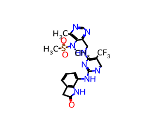 Cc1ncnc(CNc2nc(Nc3cccc4c3NC(=O)C4)ncc2C(F)(F)F)c1N(C)S(C)(=O)=O